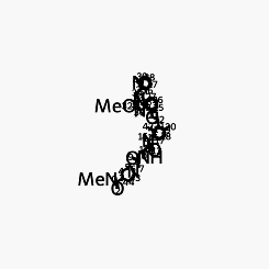 CNC(=O)C1CCN(CC(=O)NCC(=O)N(C)c2ccc(C)c(COc3cccc4c3nc(OC)n4Cc3ccccn3)c2C)CC1